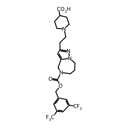 O=C(O)C1CCN(CCc2cc3n(n2)CCCN(C(=O)OCc2cc(C(F)(F)F)cc(C(F)(F)F)c2)C3)CC1